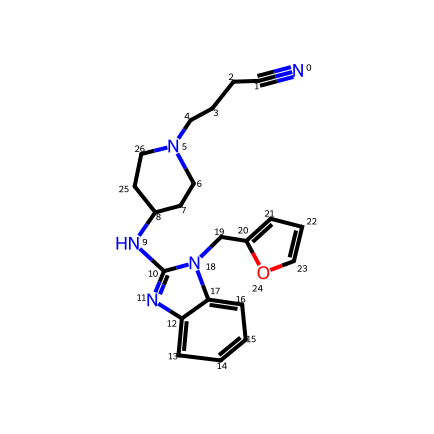 N#CCCCN1CCC(Nc2nc3ccccc3n2Cc2ccco2)CC1